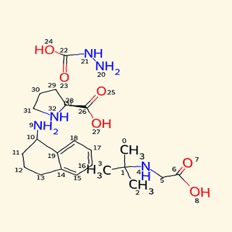 CC(C)(C)NCC(=O)O.NC1CCCc2ccccc21.NNC(=O)O.O=C(O)[C@@H]1CCCN1